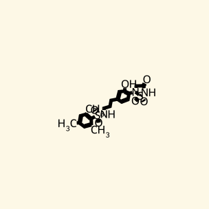 Cc1cc(C)c(S(=O)(=O)NCCCc2ccc(N3CC(=O)NS3(=O)=O)c(O)c2)c(C)c1